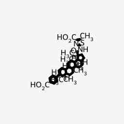 C=C(C)[C@@]1(C(=O)Nc2nc(C(=O)O)c(C)s2)CC[C@@H]2CC[C@]3(C)[C@H](CC[C@@H]4[C@@]5(C)CC=C(c6ccc(C(=O)O)cc6)C(C)(C)[C@@H]5CC[C@]43C)[C@@H]21